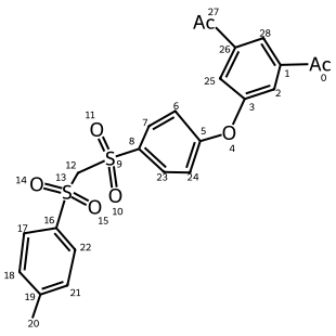 CC(=O)c1cc(Oc2ccc(S(=O)(=O)CS(=O)(=O)c3ccc(C)cc3)cc2)cc(C(C)=O)c1